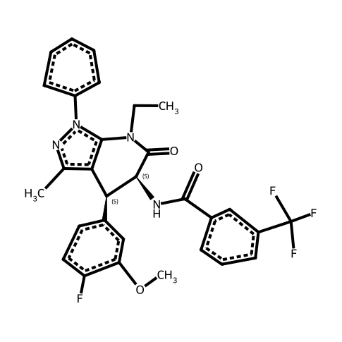 CCN1C(=O)[C@@H](NC(=O)c2cccc(C(F)(F)F)c2)[C@@H](c2ccc(F)c(OC)c2)c2c(C)nn(-c3ccccc3)c21